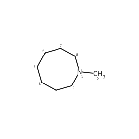 CN1CC[CH]CCCC1